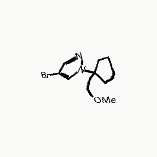 COCC1(n2cc(Br)cn2)CCCC1